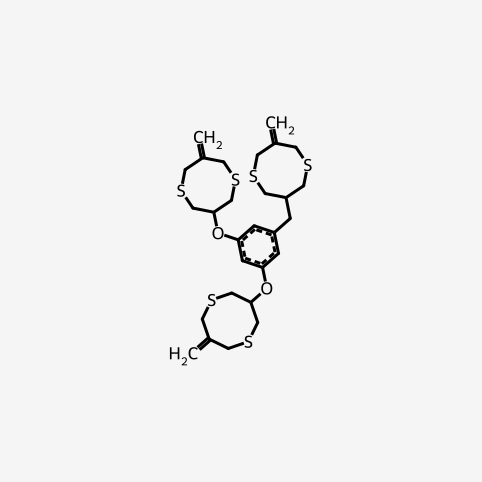 C=C1CSCC(Cc2cc(OC3CSCC(=C)CSC3)cc(OC3CSCC(=C)CSC3)c2)CSC1